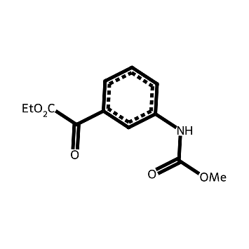 CCOC(=O)C(=O)c1cccc(NC(=O)OC)c1